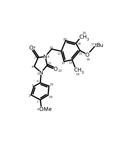 COc1ccc(N2CC(=O)N(Cc3cc(C)c(OC(C)(C)C)c(C)c3)C2=O)cc1